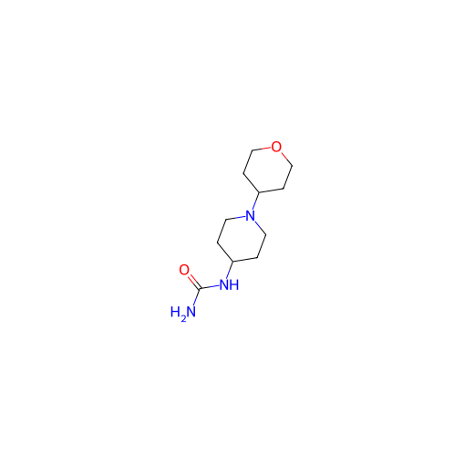 NC(=O)NC1CCN(C2CCOCC2)CC1